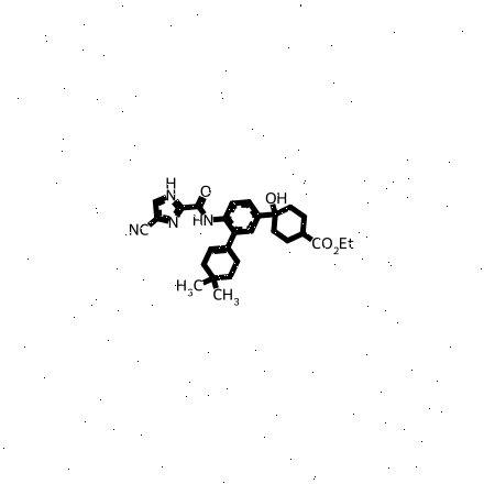 CCOC(=O)C1CCC(O)(c2ccc(NC(=O)c3nc(C#N)c[nH]3)c(C3=CCC(C)(C)CC3)c2)CC1